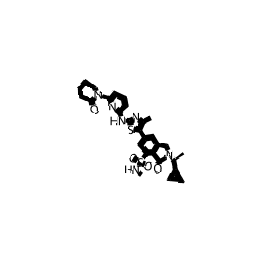 CNS(=O)(=O)c1cc(-c2sc(Nc3cccc(N4CCCCC4=O)n3)nc2C)cc2c1C(=O)N([C@@H](C)C1CC1)C2